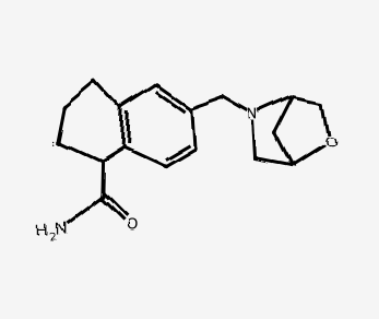 NC(=O)C1[C]CCc2cc(CN3CC4CC3CO4)ccc21